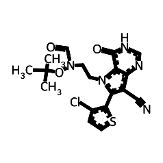 CC(C)(C)ON(C=O)CCn1c(-c2sccc2Cl)c(C#N)c2nc[nH]c(=O)c21